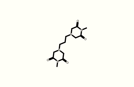 CN1C(=O)CN(CCCN2CC(=O)N(C)C(=O)C2)CC1=O